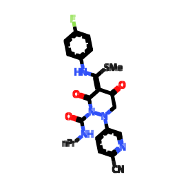 CCCNC(=O)N1C(=O)C(=C(Nc2ccc(F)cc2)SC)C(=O)CN1c1ccc(C#N)nc1